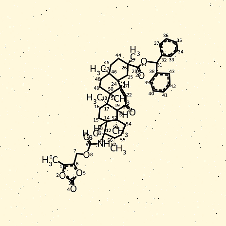 Cc1oc(=O)oc1COC(=O)N[C@@]1(C)[C@@H]2CC[C@]3(C)[C@H](C(=O)C=C4[C@@H]5C[C@@](C)(C(=O)OC(c6ccccc6)c6ccccc6)CC[C@]5(C)CC[C@]43C)[C@@]2(C)CC[C@@H]1C